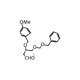 COc1ccc(CO[C@H](CC=O)[C@@H](C)OCOCc2ccccc2)cc1